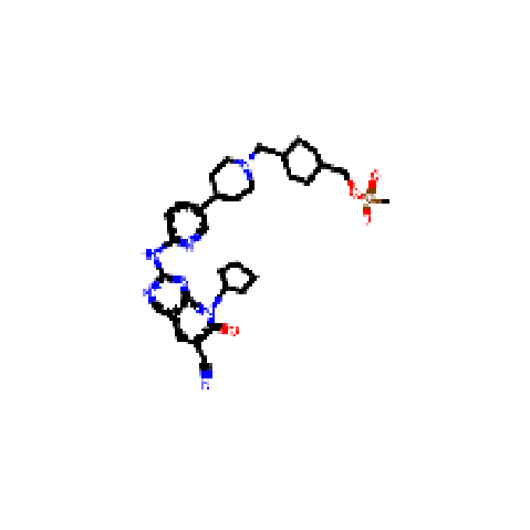 CS(=O)(=O)OCC1CCC(CN2CCC(c3ccc(Nc4ncc5cc(C#N)c(=O)n(C6CCCC6)c5n4)nc3)CC2)CC1